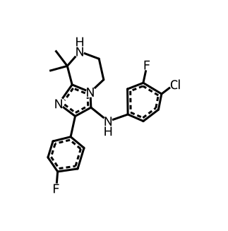 CC1(C)NCCn2c1nc(-c1ccc(F)cc1)c2Nc1ccc(Cl)c(F)c1